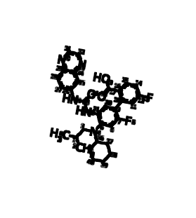 CC(C)CN(c1cc(F)c(-c2cc(F)ccc2C(=O)O)cc1NC(=O)Nc1ccc2nccnc2c1)C1CCCCC1